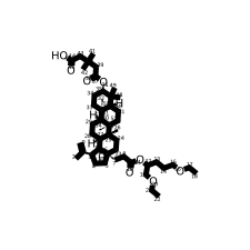 C=C(C)[C@@H]1CC[C@]2(CCC(=O)OC(CCCOCC)COCC)CC[C@]3(C)[C@H](CC[C@@H]4[C@@]5(C)CC[C@H](OC(=O)CC(C)(C)CC(=O)O)C(C)(C)[C@@H]5CC[C@]43C)[C@@H]12